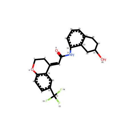 O=C(C=C1CCOc2ccc(C(F)(F)F)cc21)Nc1cccc2c1CC(O)CC2